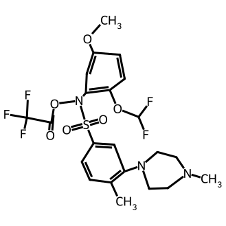 COc1ccc(OC(F)F)c(N(OC(=O)C(F)(F)F)S(=O)(=O)c2ccc(C)c(N3CCN(C)CC3)c2)c1